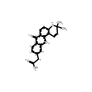 CC1(C)C=Cc2c(ccc3c(=O)c4ccc(CC(=O)O)cc4oc23)O1